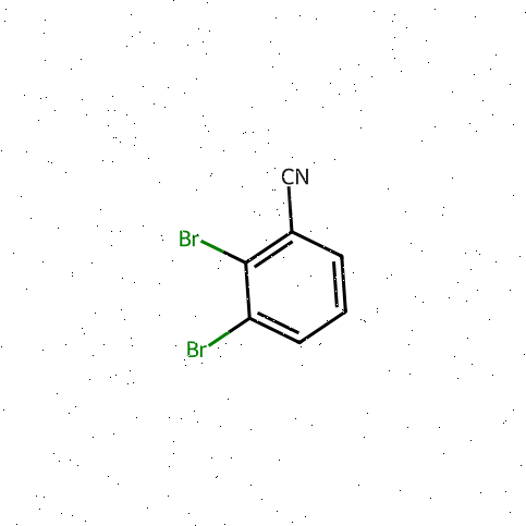 N#Cc1cccc(Br)c1Br